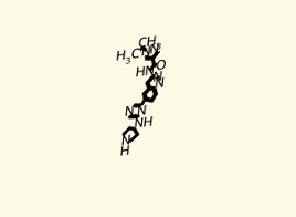 CC(C)n1cc(C(=O)Nc2cc3cc(-c4cncc(NC5CCNCC5)n4)ccc3nn2)cn1